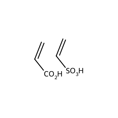 C=CC(=O)O.C=CS(=O)(=O)O